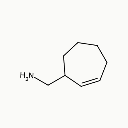 NCC1C=CCCCC1